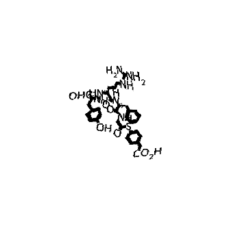 NC(N)NCCC[C@H](NN[C@H](C=O)Cc1ccc(O)cc1)C(=O)N[C@@H](Cc1ccccc1)C(=O)NCC(=O)Sc1ccc(CC(=O)O)cc1